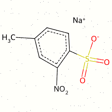 Cc1ccc(S(=O)(=O)[O-])c([N+](=O)[O-])c1.[Na+]